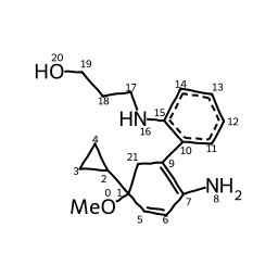 COC1(C2CC2)C=CC(N)=C(c2ccccc2NCCCO)C1